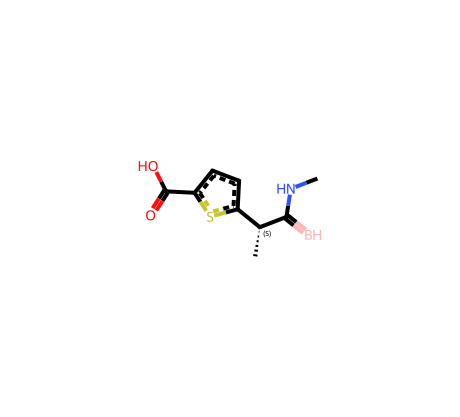 B=C(NC)[C@H](C)c1ccc(C(=O)O)s1